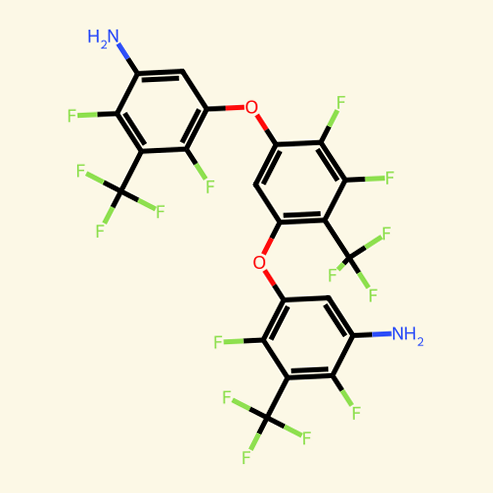 Nc1cc(Oc2cc(Oc3cc(N)c(F)c(C(F)(F)F)c3F)c(C(F)(F)F)c(F)c2F)c(F)c(C(F)(F)F)c1F